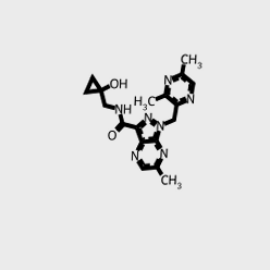 Cc1cnc(Cn2nc(C(=O)NCC3(O)CC3)c3ncc(C)nc32)c(C)n1